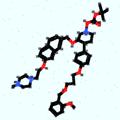 COc1ccccc1COCCCOc1ccc(C2CCN(OC(=O)OC(C)(C)C)CC2OCc2ccc3ccc(OCCN4CCN(C)CC4)cc3c2)cc1